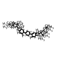 CC(C)(C)OC(=O)N[C@H](C1Nc2cc(F)c(-c3ccc(-c4cc5c(cc4F)NC([C@@H](NC(=O)OC(C)(C)C)C(C)(C)C)N5)cc3)cc2N1)C(C)(C)C